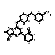 FC(F)(F)c1cccc(CN2CCC(Nc3cc(-c4ccccc4Cl)nc4c(Br)cnn34)CC2)c1